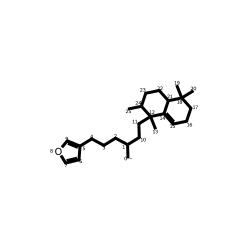 [CH2]C(CCCc1ccoc1)CCC1(C)C2=CCCC(C)(C)C2CCC1C